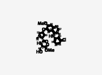 COC(=O)[C@H](CO)NC(=O)[C@H]1C[C@H](Oc2cc3c(Nc4cccc(Cl)c4F)ncnc3cc2OC)CN1C